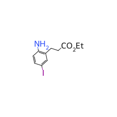 CCOC(=O)CCc1cc(I)ccc1N